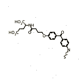 O=C(O)CCC(NC(=O)CCCOc1ccc(C(=O)c2ccc(N=C=S)cc2)cc1)C(=O)O